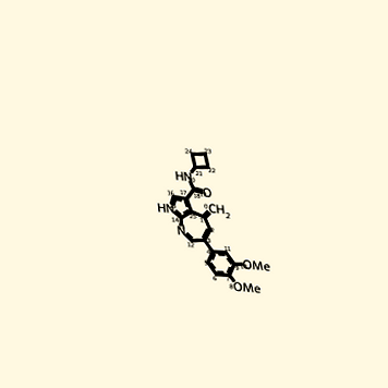 C=C1C=C(c2ccc(OC)c(OC)c2)C=Nc2[nH]cc(C(=O)NC3CCC3)c21